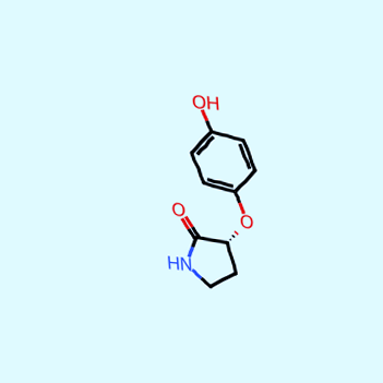 O=C1NCC[C@H]1Oc1ccc(O)cc1